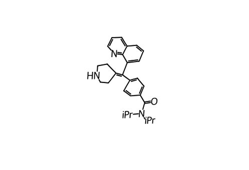 CC(C)N(C(=O)c1ccc(C(=C2CCNCC2)c2cccc3cccnc23)cc1)C(C)C